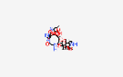 CO[C@]1(C)C[C@H](O[C@H]2[C@H](C)[C@@H](O[C@@H]3O[C@H](C)C[C@H](N(C)C)[C@H]3OC(=O)c3ccc[nH]3)[C@](C)(O)C[C@@H](C)CN(C)C(=O)CCNC(=O)[C@@H]2C)O[C@H]2c3cc[nH]c3C(=O)O[C@@H]21